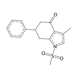 Cc1cn(S(C)(=O)=O)c2c1C(=O)CC(c1ccccc1)C2